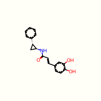 O=C(/C=C/c1ccc(O)c(O)c1)N[C@H]1C[C@@H]1c1ccccc1